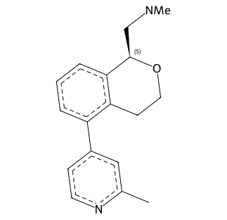 CNC[C@H]1OCCc2c(-c3ccnc(C)c3)cccc21